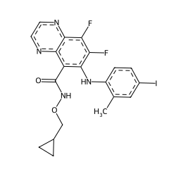 Cc1cc(I)ccc1Nc1c(F)c(F)c2nccnc2c1C(=O)NOCC1CC1